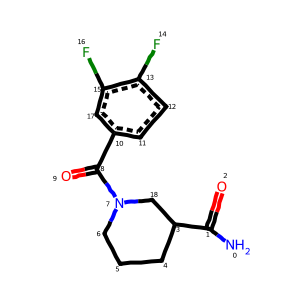 NC(=O)C1CCCN(C(=O)c2ccc(F)c(F)c2)C1